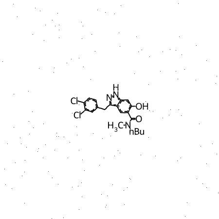 CCCCN(C)C(=O)c1cc2c(Cc3ccc(Cl)c(Cl)c3)n[nH]c2cc1O